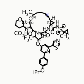 CC[C@@H]1O[C@H](C)CC/C=C\[C@@H]2C[C@@]2(C(=O)NS(=O)(=O)C2(C)CC2)NC(=O)[C@@H]2C[C@@H](Oc3cc(-c4ccc(OC(C)C)cc4)nc(-c4cncs4)c3)C(C(F)(F)F)N2C(=O)[C@H]1N(C(=O)O)C1CCCOC1